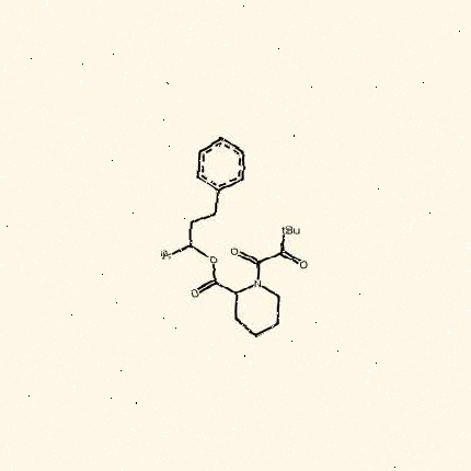 CC(C)C(CCc1ccccc1)OC(=O)C1CCCCN1C(=O)C(=O)C(C)(C)C